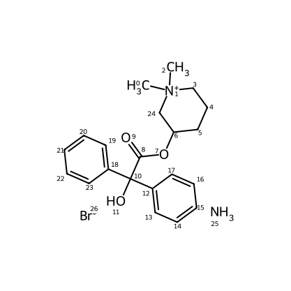 C[N+]1(C)CCCC(OC(=O)C(O)(c2ccccc2)c2ccccc2)C1.N.[Br-]